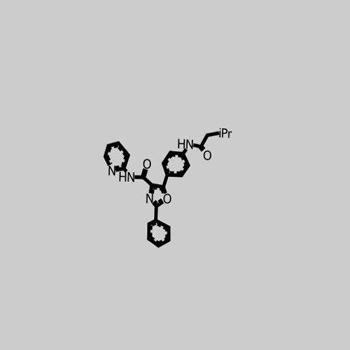 CC(C)CC(=O)Nc1ccc(-c2oc(-c3ccccc3)nc2C(=O)Nc2ccccn2)cc1